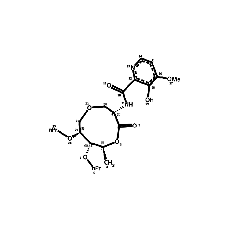 CCCO[C@H]1[C@H](C)OC(=O)[C@@H](NC(=O)c2nccc(OC)c2O)COC[C@@H]1OCCC